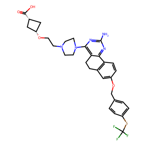 Nc1nc2c(c(N3CCN(CCO[C@H]4C[C@@H](C(=O)O)C4)CC3)n1)CCc1cc(OCc3ccc(SC(F)(F)F)cc3)ccc1-2